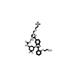 CC(C)(C)OC(=O)NC1CC(n2c(-c3ccccc3OCCO)nc3ccc(-c4ncn(COCC[Si](C)(C)C)n4)cc32)CC(F)(F)C1